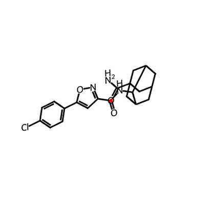 NC(=O)C12CC3CC(C1)C(NC(=O)c1cc(-c4ccc(Cl)cc4)on1)C(C3)C2